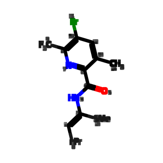 CCC/C=C(/NC(=O)c1nc(C(F)(F)F)c(Br)cc1C)SC